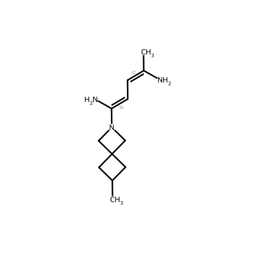 C/C(N)=C/C=C(\N)N1CC2(CC(C)C2)C1